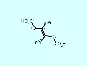 CCC/C(OC(=O)O)=C(/CCC)OC(=O)O